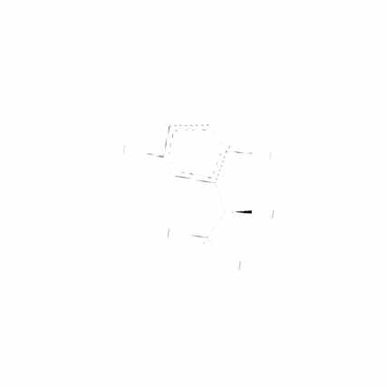 Cc1ccc(C)c([C@@H](O)C(C)C)c1